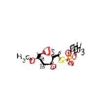 COC1=COC(CSP(=O)(OC)OC)C(=O)C1